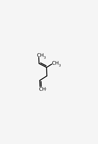 [CH]=CCC(C)=CC